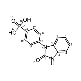 O=c1[nH]c2ccccc2n1-c1ccc(P(=O)(O)O)cc1